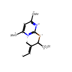 C/C=C(\C)C(Sc1nc(OC)cc(OC)n1)C(=O)OCC